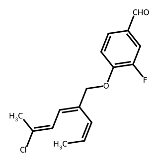 C\C=C/C(=C\C=C(/C)Cl)COc1ccc(C=O)cc1F